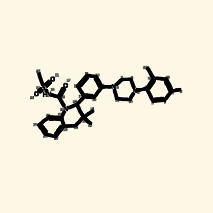 Cc1ccc(N2CCN(c3cccc(C4N(C(=O)NS(C)(=O)=O)c5ccccc5CC4(C)C)c3)CC2)c(C)c1